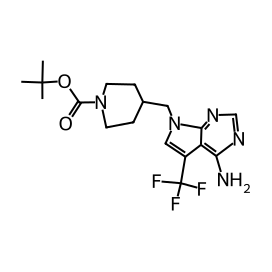 CC(C)(C)OC(=O)N1CCC(Cn2cc(C(F)(F)F)c3c(N)ncnc32)CC1